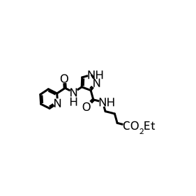 CCOC(=O)CCCNC(=O)c1n[nH]cc1NC(=O)c1ccccn1